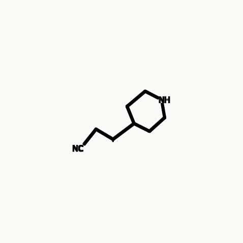 N#CC[CH]C1CCNCC1